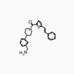 NCc1cccc(C2CCN(C(=O)c3ccc(C=Cc4ccccc4)s3)CC2)c1